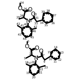 COC(=O)C(C)N(C(=O)Cc1ccccc1)c1c(C)cccc1C.COC(=O)C(C)N(C(=O)Cc1ccccc1)c1c(C)cccc1C